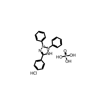 Cl.O=P(O)(O)O.c1ccc(C2=NN(c3ccccc3)N(c3ccccc3)N2)cc1